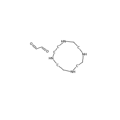 C1CNCCNCCNCCN1.O=CC=O